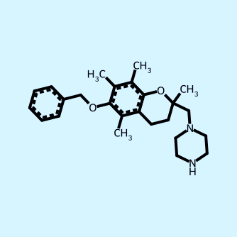 Cc1c(C)c2c(c(C)c1OCc1ccccc1)CCC(C)(CN1CCNCC1)O2